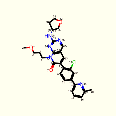 COCCCn1c(=O)c(-c2ccc(-c3cccc(C)n3)cc2Cl)cc2cnc(N[C@@H]3CCOC3)nc21